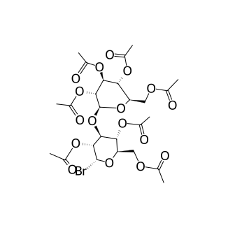 CC(=O)OC[C@H]1O[C@H](Br)[C@H](OC(C)=O)[C@@H](O[C@@H]2O[C@H](COC(C)=O)[C@@H](OC(C)=O)[C@H](OC(C)=O)[C@H]2OC(C)=O)[C@@H]1OC(C)=O